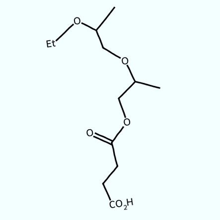 CCOC(C)COC(C)COC(=O)CCC(=O)O